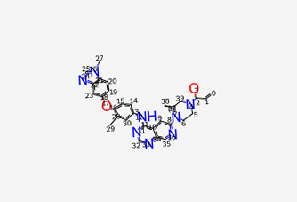 C=CC(=O)N1CCN(c2cc3c(Nc4ccc(Oc5ccc6c(c5)ncn6C)c(C)c4)ncnc3cn2)[C@@H](C)C1